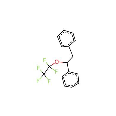 FC(F)(F)C(F)(F)OC(Cc1cc[c]cc1)c1ccccc1